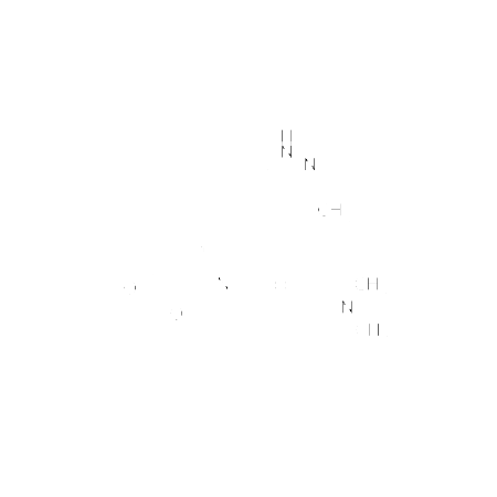 Cc1n[nH]cc1-c1cc(OCCN(C)C)c2nc(C3COc4ccccc4O3)sc2c1